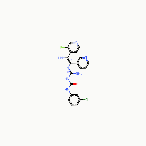 N/C(=C(\N=C(/N)NC(=O)Nc1cccc(Cl)c1)c1cccnc1)c1ccncc1F